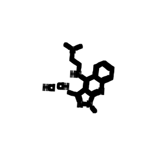 Cc1nn(C)c2nc3ccccc3c(NCCN(C)C)c12.Cl.Cl